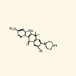 CC1(C)c2cc(N3CCNCC3)c(Br)cc2C(=O)c2c1[nH]c1cc(N)ccc21